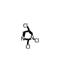 ClC1=CN(Cl)C(Cl)N=[C]1